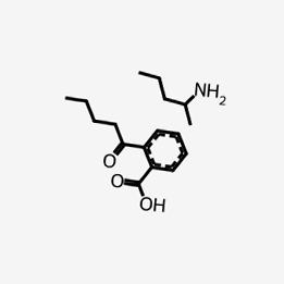 CCCC(C)N.CCCCC(=O)c1ccccc1C(=O)O